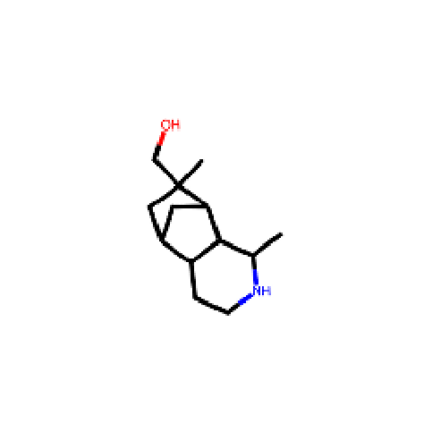 CC1NCCC2C3CC(C12)C(C)(CO)C3